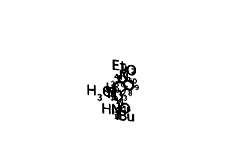 CCC(=O)n1cc2c3c(cccc31)C1=C[C@@H](C(=O)NC(C)CC)CN(C)[C@@H]1C2